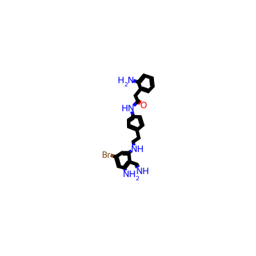 N=Cc1c(N)cc(Br)cc1NCCc1ccc(NC(=O)Cc2ccccc2N)cc1